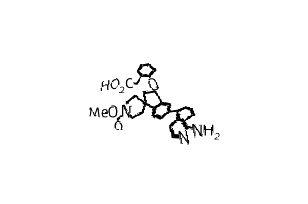 COC(=O)N1CCC2(CC1)C[C@@H](Oc1ccccc1CC(=O)O)c1cc(-c3cccc4c(N)nccc34)ccc12